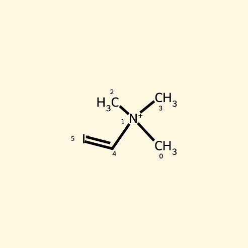 C[N+](C)(C)C=[I-]